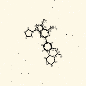 CCc1nn(C2CCCC2)c2nc(-c3ccnc(OC(C)N4CCOCC4)c3)nc(N)c12